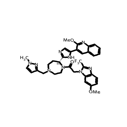 COc1ccc2nc(C(F)(F)F)n(CC(=O)N3CCN(Cc4ccn(C)n4)CC[C@@H]3c3ncc(-c4cc5ccccc5nc4OC)[nH]3)c2c1